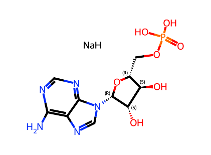 Nc1ncnc2c1ncn2[C@@H]1O[C@H](COP(=O)(O)O)[C@@H](O)[C@@H]1O.[NaH]